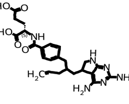 C=CCC(Cc1ccc(C(=O)N[C@@H](CCC(=O)O)C(=O)O)cc1)CC1CNc2nc(N)nc(N)c21